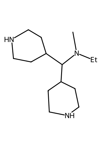 CCN(C)C(C1CCNCC1)C1CCNCC1